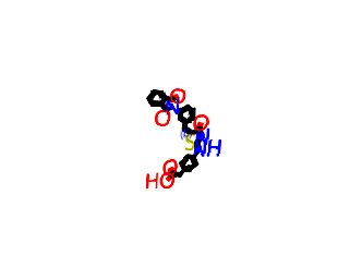 O=C(O)Cc1ccc(NC2=NC(=O)/C(=C\c3cccc(N4C(=O)c5ccccc5C4=O)c3)S2)cc1